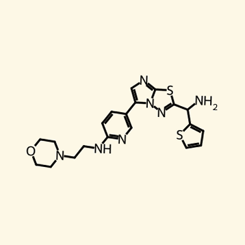 NC(c1cccs1)c1nn2c(-c3ccc(NCCN4CCOCC4)nc3)cnc2s1